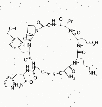 CC(C)[C@@H]1NC(=O)[C@H](CC(=O)O)NC(=O)[C@H](CCCN)NC(=O)[C@@H](N)CSSC[C@@H](C(=O)N[C@@H](Cc2cccnc2)C(N)=O)NC(=O)[C@H](Cc2ccc(CO)cc2)NC(=O)[C@@H]2CCCN2C(=O)CNC1=O